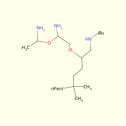 CCCCCC(C)(C)CCC(CNC(C)CC)OCC(N)OC(C)N